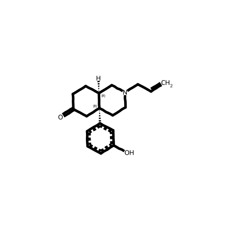 C=CCN1CC[C@@]2(c3cccc(O)c3)CC(=O)CC[C@H]2C1